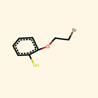 Sc1ccccc1OCCBr